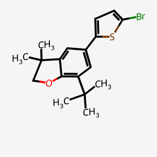 CC(C)(C)c1cc(-c2ccc(Br)s2)cc2c1OCC2(C)C